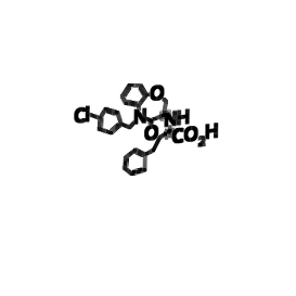 O=C(O)[C@H](CCc1ccccc1)N[C@H]1COc2ccccc2N(Cc2ccc(Cl)cc2)C1=O